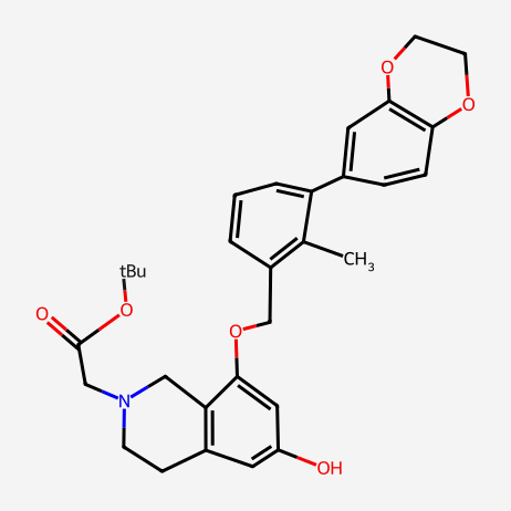 Cc1c(COc2cc(O)cc3c2CN(CC(=O)OC(C)(C)C)CC3)cccc1-c1ccc2c(c1)OCCO2